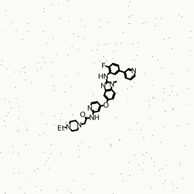 CCN1CCN(CC(=O)Nc2cc(Oc3ccc4c(c3)nc(Nc3cc(-c5cccnc5)ccc3F)n4C)ccn2)CC1